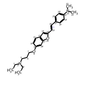 CCN(CC)CCCOc1ccc2cc(/C=C/c3ccc(N(C)C)cc3)oc2c1